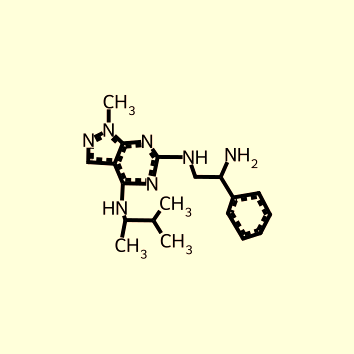 CC(C)C(C)Nc1nc(NCC(N)c2ccccc2)nc2c1cnn2C